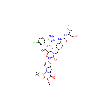 CCC(C)C(CO)NC(=O)Nc1ccc(CC(C(=O)Nc2ccc3c(c2)cc(C(=O)OC(C)(C)C)n3C(=O)OC(C)(C)C)N2CCN(c3cc(Cl)ccc3-n3cnnn3)C(=O)C2=O)cc1